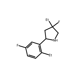 CCc1ccc(F)cc1C1CC(F)(CC)CN1